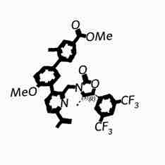 C=C(C)c1ccc(-c2cc(-c3ccc(C(=O)OC)cc3C)ccc2OC)c(CN2C(=O)O[C@H](c3cc(C(F)(F)F)cc(C(F)(F)F)c3)[C@@H]2C)n1